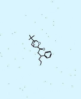 [CH2]CCC(CC(=O)[C]1OC2CCC1CC2C(C)(C)C)c1ccccc1